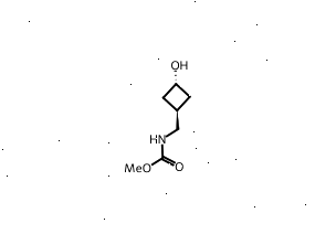 COC(=O)NC[C@H]1C[C@H](O)C1